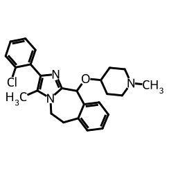 Cc1c(-c2ccccc2Cl)nc2n1CCc1ccccc1C2OC1CCN(C)CC1